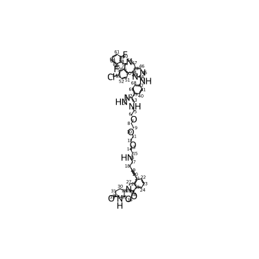 N=N/C(=C\NCCOCCOCCOCCNCCC#Cc1cccc2c1CN(C1CCC(=O)NC1=O)C2=O)c1ccc(Nc2ncc3c(n2)-c2ccc(Cl)cc2C(c2c(F)cccc2F)=NC3)cc1